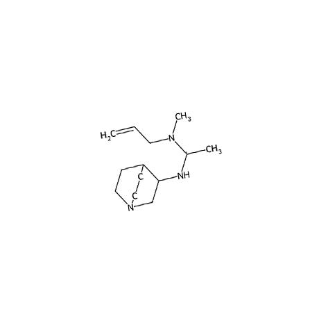 C=CCN(C)[C](C)NC1CN2CCC1CC2